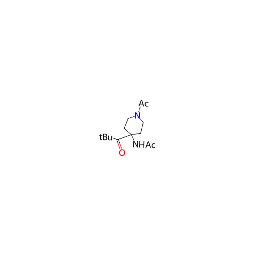 CC(=O)NC1(C(=O)C(C)(C)C)CCN(C(C)=O)CC1